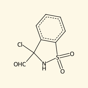 O=CC1(Cl)NS(=O)(=O)c2ccccc21